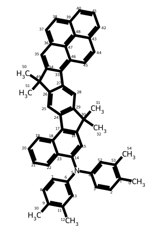 Cc1ccc(N(c2ccc(C)c(C)c2)c2cc3c(c4ccccc24)-c2cc4c(cc2C3(C)C)-c2c(cc3ccc5cccc6ccc2c3c56)C4(C)C)cc1C